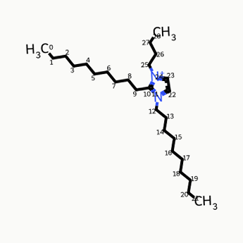 CCCCCCCCCCc1n(CCCCCCCCCC)cc[n+]1CCCC